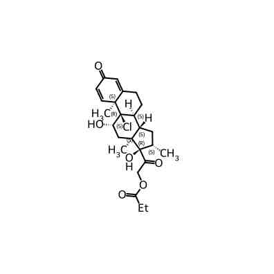 CCC(=O)OCC(=O)[C@@]1(O)[C@@H](C)C[C@H]2[C@@H]3CCC4=CC(=O)C=C[C@]4(C)[C@@]3(Cl)[C@@H](O)C[C@@]21C